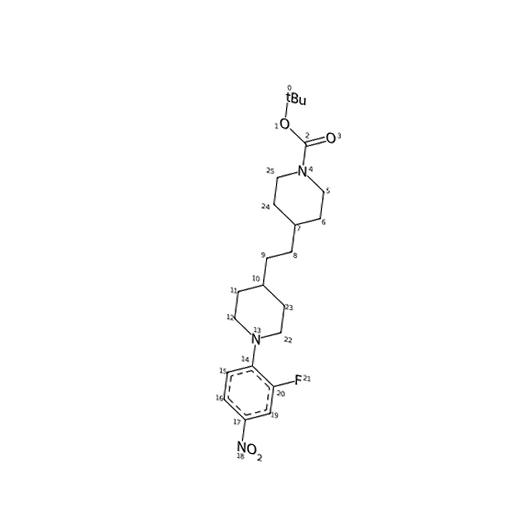 CC(C)(C)OC(=O)N1CCC(CCC2CCN(c3ccc([N+](=O)[O-])cc3F)CC2)CC1